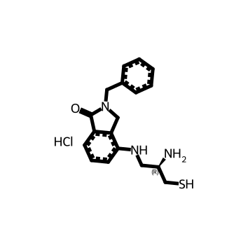 Cl.N[C@@H](CS)CNc1cccc2c1CN(Cc1ccccc1)C2=O